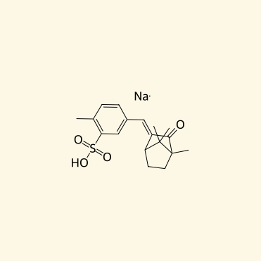 Cc1ccc(C=C2C(=O)C3(C)CCC2C3(C)C)cc1S(=O)(=O)O.[Na]